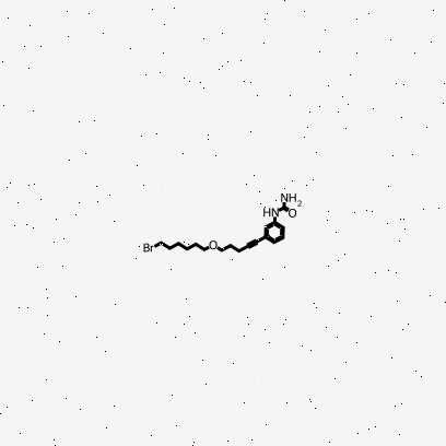 NC(=O)Nc1cccc(C#CCCCOCCCCCCBr)c1